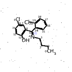 CCCC/N=C(/c1cc(Cl)ccc1O)c1ccccc1Cl